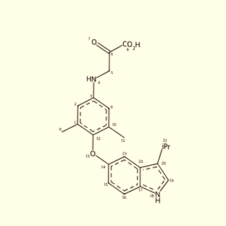 Cc1cc(NCC(=O)C(=O)O)cc(C)c1Oc1ccc2[nH]cc(C(C)C)c2c1